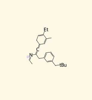 C/C=N\C(=C=C1C=C(C)C(CC)=CC1)Cc1cccc(CC(C)(C)C)c1